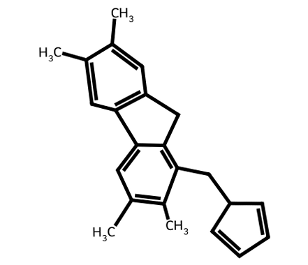 Cc1cc2c(cc1C)-c1cc(C)c(C)c(CC3C=CC=C3)c1C2